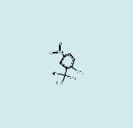 CCCC(C)(C)c1cc([SH](=O)=O)ccc1C